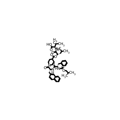 CC(C)COC(=O)N[C@@H](Cc1ccccc1)C(=O)N[C@H](Cc1ccc2ccccc2c1)C(=O)N1CCC(C(=O)O[C@@H](CC(C)C)C(=O)N[C@H](C(=O)O)C(C)C)CC1